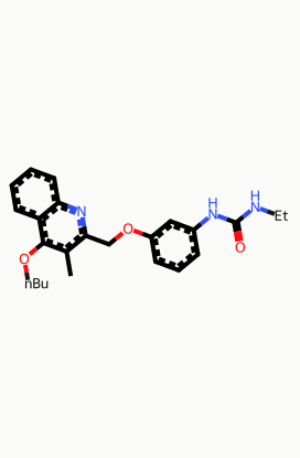 CCCCOc1c(C)c(COc2cccc(NC(=O)NCC)c2)nc2ccccc12